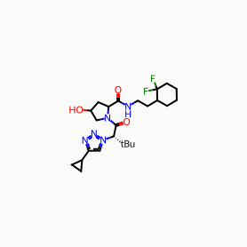 CC(C)(C)[C@@H](C(=O)N1CC(O)CC1C(=O)NCCC1CCCCC1(F)F)n1cc(C2CC2)nn1